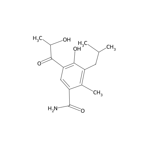 Cc1c(C(N)=O)cc(C(=O)C(C)O)c(O)c1CC(C)C